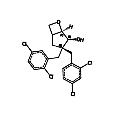 O[C@@H]1[C@@H]2OCC2C[C@@]1(Cc1ccc(Cl)cc1Cl)Cc1cc(Cl)ccc1Cl